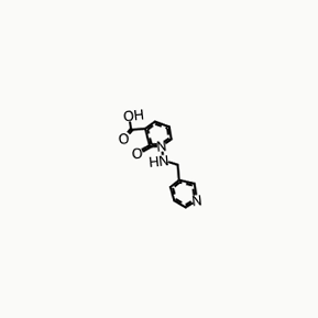 O=C(O)c1cccn(NCc2cccnc2)c1=O